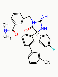 CN(C)C(=O)c1cccc(CN2C(=N)N[C@@](c3ccc(F)cc3)(c3cccc(-c4cccc(C#N)c4)c3)C2=O)c1